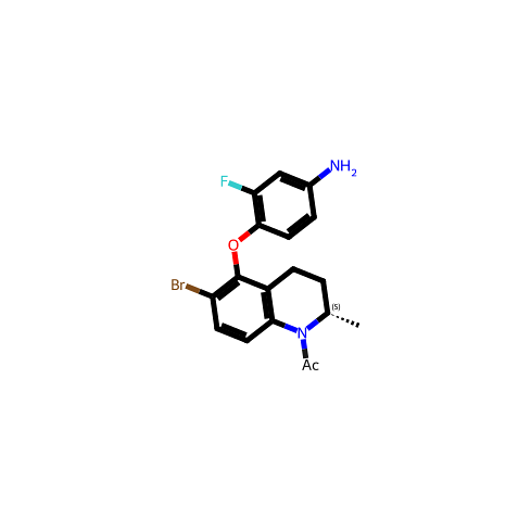 CC(=O)N1c2ccc(Br)c(Oc3ccc(N)cc3F)c2CC[C@@H]1C